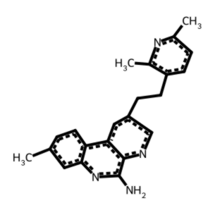 Cc1ccc2c(c1)nc(N)c1ncc(CCc3ccc(C)nc3C)cc12